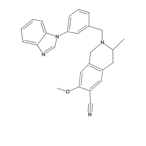 COc1cc2c(cc1C#N)CC(C)N(Cc1cccc(-n3cnc4ccccc43)c1)C2